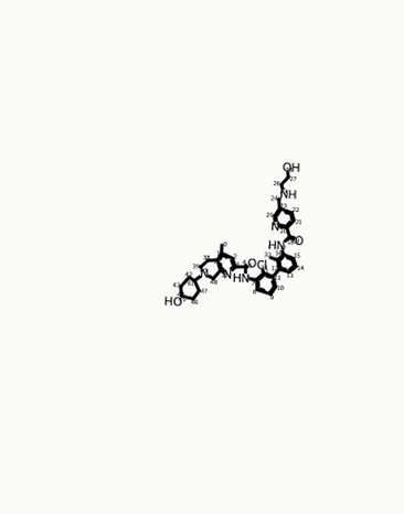 Cc1cc(C(=O)Nc2cccc(-c3cccc(NC(=O)c4ccc(CNCCO)cn4)c3C)c2Cl)nc2c1CCN(C1CCC(O)CC1)C2